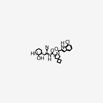 N#C[C@H](C[C@@H]1CCCNC1O)NC(=O)[C@@H]1CC2(CCC2)CN1C(=O)c1cc2cccc(Cl)c2[nH]1